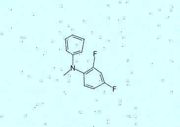 CN(c1ccccc1)c1ccc(F)cc1F